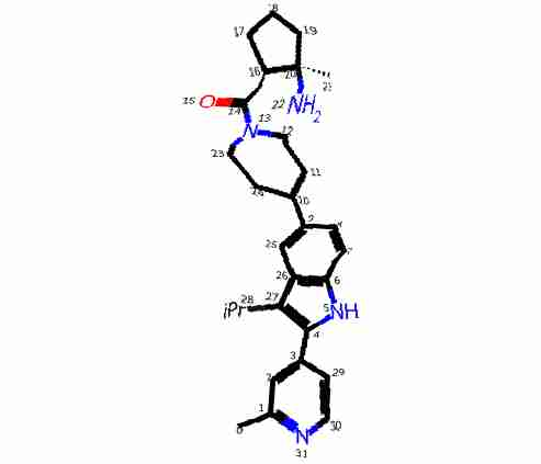 Cc1cc(-c2[nH]c3ccc(C4CCN(C(=O)[C@H]5CCC[C@@]5(C)N)CC4)cc3c2C(C)C)ccn1